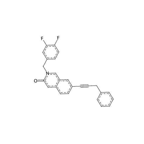 O=c1cc2ccc(C#CCc3ccccc3)cc2cn1Cc1ccc(F)c(F)c1